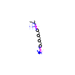 CCCCC(CC)CNC(=O)Nc1ccc(Cc2cccc(Cc3cccc(Cc4ccc(/N=C(\[O-])c5n(C)cc[n+]5C)cc4)c3)c2)cc1